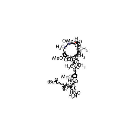 COc1cc(COC(=O)N(C)C(=O)N(C)CC(=O)O[C@H]2CC(=O)N(C)c3cc(cc(OC)c3Cl)C/C(C)=C/C=C/[C@@H](OC)[C@@]3(O)C[C@H](OC(=O)N3)[C@@H](C)[C@@H]3O[C@@]23C)ccc1NC(=O)[C@H](CCCNC(N)=O)NC(=O)[C@@H](NC(=O)CCCCC(=O)C(C)(C)C)C(C)C